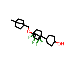 CC12CCC(COC34CCC(C5CCC(O)CC5)(CC3)C(F)(F)C4(F)F)(CC1)CC2